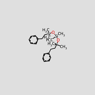 C[Si](C)(CCc1ccccc1)O[Si](C)(C)O[Si](C)(C)CCc1ccccc1